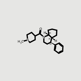 CN1CCC(C(=O)N2CC[C@H](c3ccccc3)[C@H]3CCCC[C@H]32)CC1